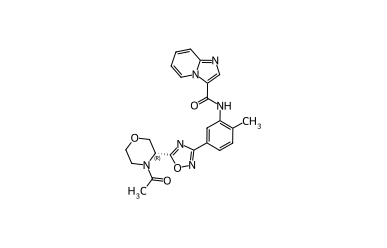 CC(=O)N1CCOC[C@@H]1c1nc(-c2ccc(C)c(NC(=O)c3cnc4ccccn34)c2)no1